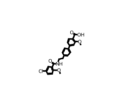 COc1cc(-c2ccc(CCNC(=O)c3cc(Cl)ccc3OC)cc2)ccc1C(=O)O